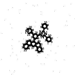 c1ccc(-c2nc(-c3ccccc3)nc(-c3cc(-c4cccnc4)cc(-c4c5ccc6ccccc6c5cc5c4ccc4ccccc45)c3)n2)cc1